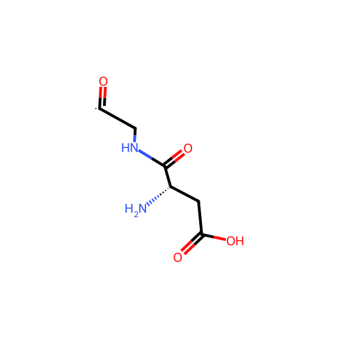 N[C@@H](CC(=O)O)C(=O)NC[C]=O